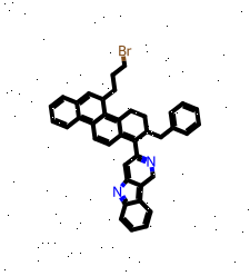 BrCCCC1C=c2ccccc2=c2ccc3c(c21)CCC(Cc1ccccc1)C=3C1=NCC2=c3c[c]ccc3=NC2=C1